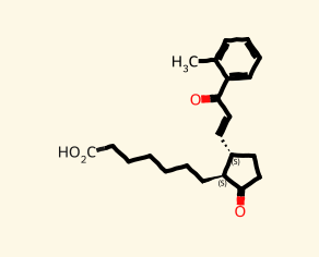 Cc1ccccc1C(=O)C=C[C@@H]1CCC(=O)[C@H]1CCCCCCC(=O)O